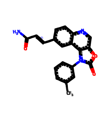 NC(=O)/C=C/c1ccc2ncc3oc(=O)n(-c4cccc(C(F)(F)F)c4)c3c2c1